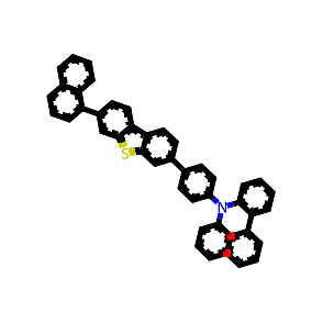 c1ccc(-c2ccccc2N(c2ccccc2)c2ccc(-c3ccc4c(c3)sc3cc(-c5cccc6ccccc56)ccc34)cc2)cc1